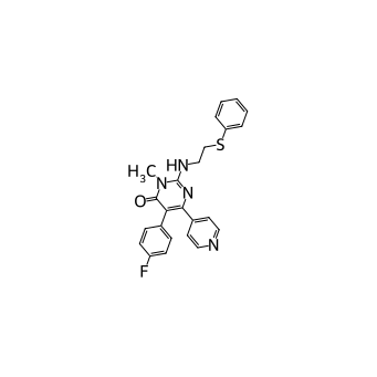 Cn1c(NCCSc2ccccc2)nc(-c2ccncc2)c(-c2ccc(F)cc2)c1=O